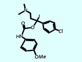 COc1ccc(NC(=O)OC(I)(CCN(C)C)c2ccc(Cl)cc2)cc1